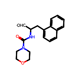 O=[C]C(Cc1cccc2ccccc12)NC(=O)N1CCOCC1